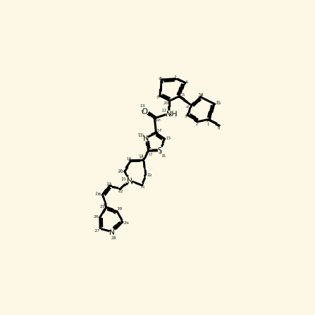 Cc1ccc(-c2ccccc2NC(=O)c2csc(C3CCN(C/C=C\c4ccncc4)CC3)n2)cc1